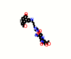 CC[C@H]1C(=O)OCc2c1cc1n(c2=O)Cc2cc3c(CN(C)C)c(OC(=O)N4CCN(CCCCCCN(C)c5ccc([C@H]6C[C@@]7(C)C(CC[C@@H]7C(C)=O)[C@@H]7CCC8=CC(=O)CCC8=C76)cc5)CC4)ccc3nc2-1